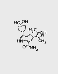 Cc1n[nH]c(C)c1-c1cc(C(N)=O)c2[nH]cc(C3CCS(O)(O)CC3)c2c1